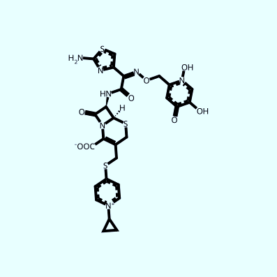 Nc1nc(/C(=N/OCc2cc(=O)c(O)cn2O)C(=O)N[C@@H]2C(=O)N3C(C(=O)[O-])=C(CSc4cc[n+](C5CC5)cc4)CS[C@H]23)cs1